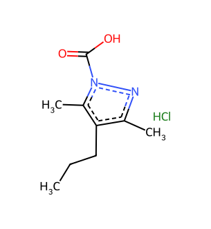 CCCc1c(C)nn(C(=O)O)c1C.Cl